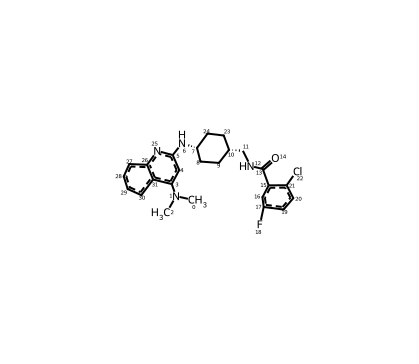 CN(C)c1cc(N[C@H]2CC[C@@H](CNC(=O)c3cc(F)ccc3Cl)CC2)nc2ccccc12